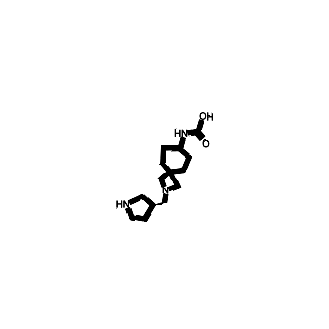 O=C(O)NC1CCC2(CC1)CN(C[C@@H]1CCNC1)C2